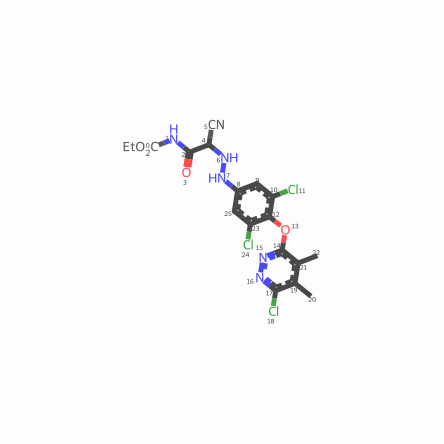 CCOC(=O)NC(=O)C(C#N)NNc1cc(Cl)c(Oc2nnc(Cl)c(C)c2C)c(Cl)c1